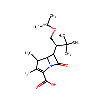 CC1=C(C(=O)O)N2C(=O)C([C@@H](CO[SiH](C)C)C(C)(C)C)C2C1C